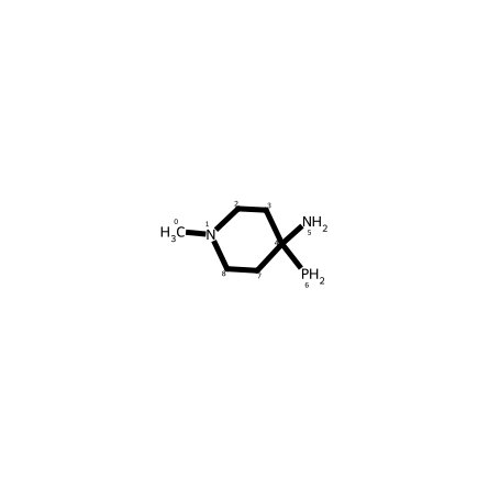 CN1CCC(N)(P)CC1